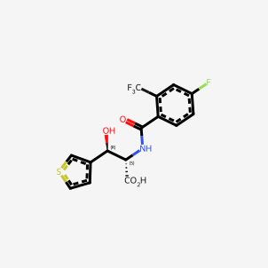 O=C(N[C@H](C(=O)O)[C@H](O)c1ccsc1)c1ccc(F)cc1C(F)(F)F